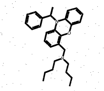 CCCCN(CCCC)Cc1cccc2c1Oc1ccccc1N2C(C)c1ccccc1